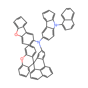 c1ccc2c(c1)Oc1ccccc1C21c2cc(N(c3ccc4oc5ccccc5c4c3)c3ccc4c(c3)c3ccccc3n4-c3cccc4ccccc34)ccc2-c2cccc3cccc1c23